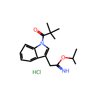 CC(C)OC(=N)Cc1cn(C(=O)C(C)(C)C)c2ccccc12.Cl